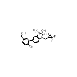 CN1c2cc(-c3cc(CO)ccc3C#N)ccc2N(CC2CC2(F)F)S1(O)O